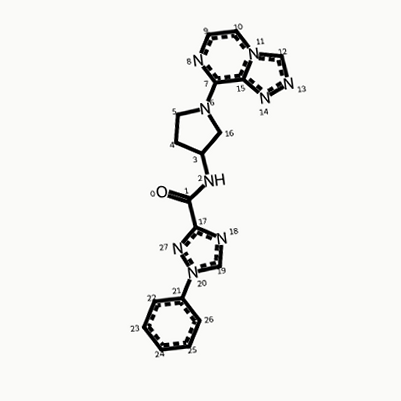 O=C(NC1CCN(c2nccn3cnnc23)C1)c1ncn(-c2ccccc2)n1